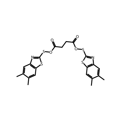 Cc1cc2nc(SOC(=O)CCC(=O)OSc3nc4cc(C)c(C)cc4s3)sc2cc1C